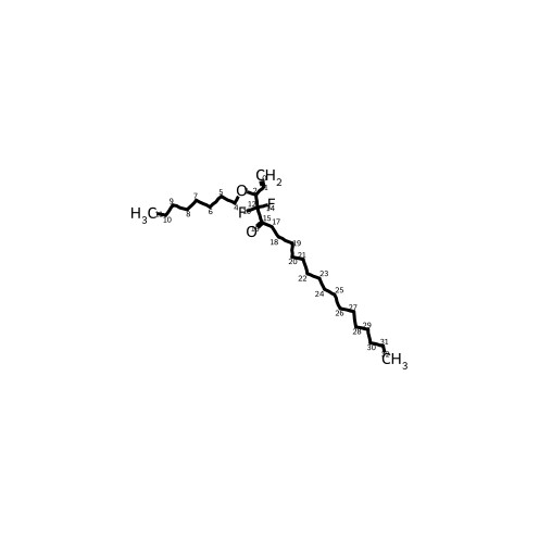 C=CC(OCCCCCCCC)C(F)(F)C(=O)CCCCCCCCCCCCCCCC